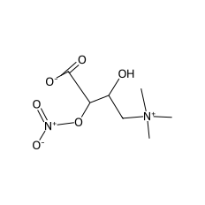 C[N+](C)(C)CC(O)C(O[N+](=O)[O-])C(=O)[O-]